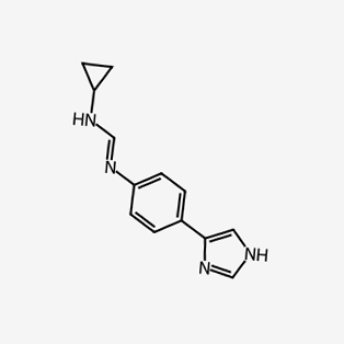 C(=N\c1ccc(-c2c[nH]cn2)cc1)/NC1CC1